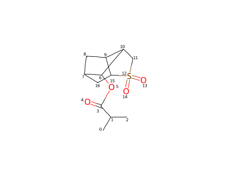 CC(C)C(=O)OC1C2CC3C1CS(=O)(=O)C3C2